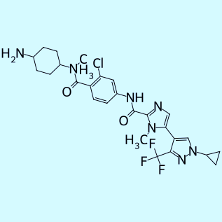 CN(C(=O)c1ccc(NC(=O)c2ncc(-c3cn(C4CC4)nc3C(F)(F)F)n2C)cc1Cl)C1CCC(N)CC1